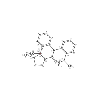 C=C(N(c1ccccc1CC)c1ccccc1C(C)C)N1C=CN(C)[C@@H]1C